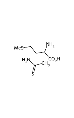 CC(N)=S.CSCCC(N)C(=O)O